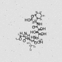 CO[C@H](C)[C@H](N)C(=O)N[C@@H](CC(C)C)C(=O)N[C@@H](CO)[C@@H](O)[C@@H](O)[C@H](O)C(=O)N[C@@H](CC(=O)O)c1ccccc1